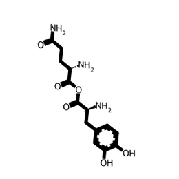 NC(=O)CC[C@H](N)C(=O)OC(=O)[C@@H](N)Cc1ccc(O)c(O)c1